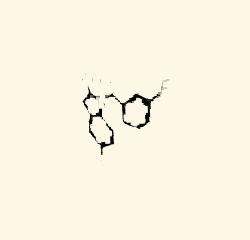 O=C(O)c1cc2cc(I)ccc2n1Cc1cccc(F)c1